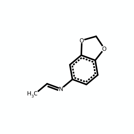 CC=Nc1ccc2c(c1)OCO2